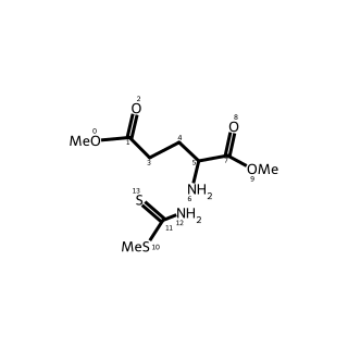 COC(=O)CCC(N)C(=O)OC.CSC(N)=S